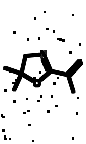 C=C(C)C1=NCC(C)(C)O1